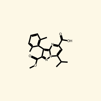 COC(=O)c1nn2c(C(C)C)cc(C(=O)O)nc2c1-c1c(C)cccc1C